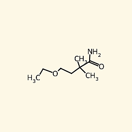 CCOCCC(C)(C)C(N)=O